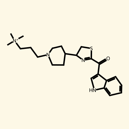 C[N+](C)(C)CCCN1CCC(C2CSC(C(=O)c3c[nH]c4ccccc34)=N2)CC1